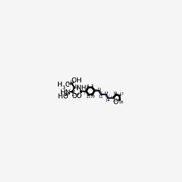 C[C@@H](O)[C@H](NC(=O)c1ccc(/C=C/C=C/c2ccco2)cc1)C(=O)NO